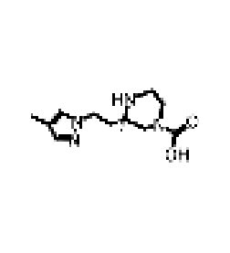 Cc1cnn(CC[C@@H]2CN(C(=O)O)CCN2)c1